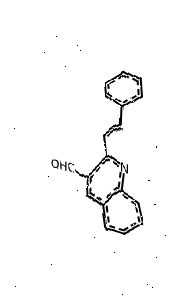 O=Cc1cc2ccccc2nc1C=Cc1ccccc1